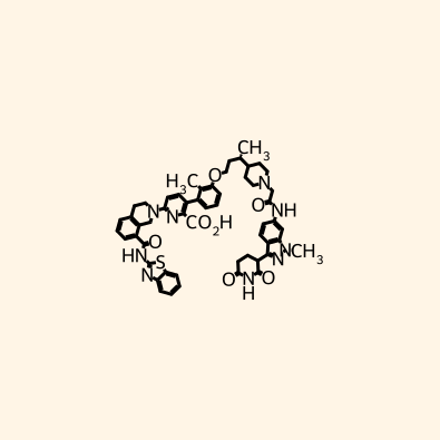 Cc1c(OCC[C@@H](C)C2CCN(CC(=O)Nc3ccc4c(C5CCC(=O)NC5=O)nn(C)c4c3)CC2)cccc1-c1ccc(N2CCc3cccc(C(=O)Nc4nc5ccccc5s4)c3C2)nc1C(=O)O